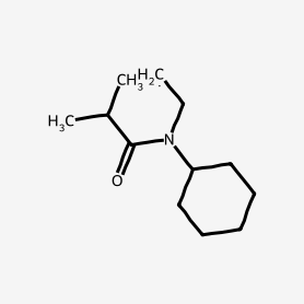 [CH2]CN(C(=O)C(C)C)C1CCCCC1